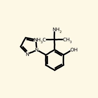 CC(C)(N)c1c(O)cccc1-n1nccn1